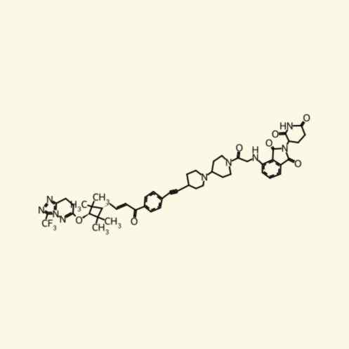 CC1(C)[C@H](C/C=C/C(=O)c2ccc(C#CC3CCN(C4CCN(C(=O)CNc5cccc6c5C(=O)N(C5CCC(=O)NC5=O)C6=O)CC4)CC3)cc2)C(C)(C)[C@H]1OC1=Nn2c(nnc2C(F)(F)F)CC1